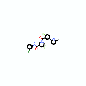 Cc1cccc(-c2ccc(F)c(C(=O)N3CC(C(=O)Nc4cccc(Cl)c4)CC(F)(F)C3)c2)n1